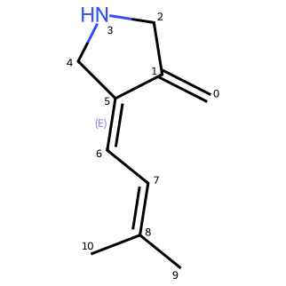 C=C1CNC/C1=C/C=C(C)C